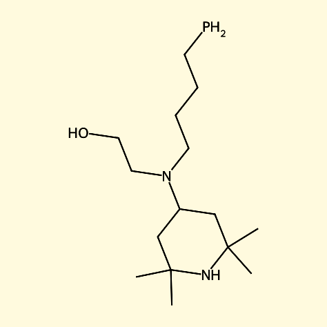 CC1(C)CC(N(CCO)CCCCP)CC(C)(C)N1